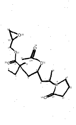 CCC(C)(CC(CC(C)N1CCCC1=O)OC(C)=O)C(=O)OCC1CO1